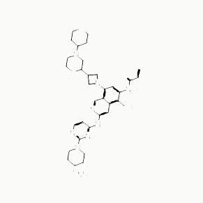 C=CC(=O)Nc1cc(N2CC(C3CN(C4CCOCC4)CCS3(=O)=O)C2)c2cnc(Nc3ccnc(N4CC[C@@H](OC)[C@@H](F)C4)n3)cc2c1C(C)C